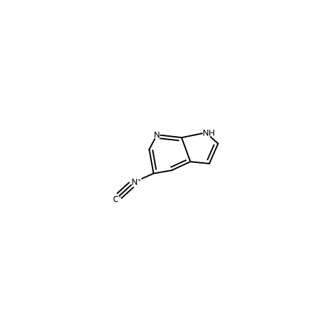 [C-]#[N+]c1cnc2[nH]ccc2c1